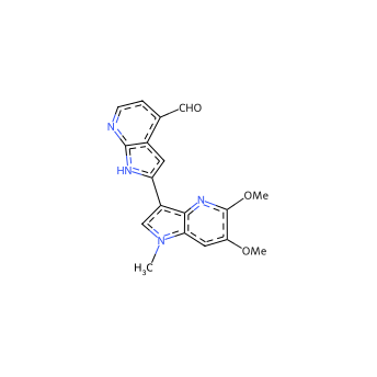 COc1cc2c(nc1OC)c(-c1cc3c(C=O)ccnc3[nH]1)cn2C